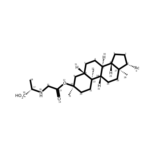 CC(=O)[C@H]1CC[C@H]2[C@@H]3CC[C@H]4C[C@](C)(OC(=O)CN[C@@H](C)C(=O)O)CC[C@]4(C)[C@H]3CC[C@]12C